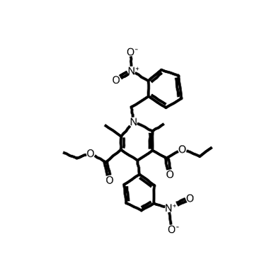 CCOC(=O)C1=C(C)N(Cc2ccccc2[N+](=O)[O-])C(C)=C(C(=O)OCC)C1c1cccc([N+](=O)[O-])c1